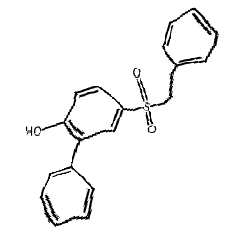 O=S(=O)(Cc1ccccc1)c1ccc(O)c(-c2ccccc2)c1